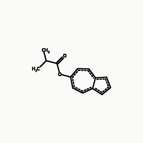 CC(C)C(=O)Oc1ccc2cccc-2cc1